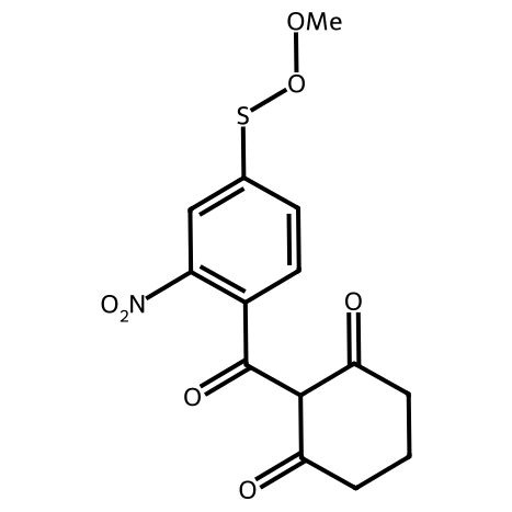 COOSc1ccc(C(=O)C2C(=O)CCCC2=O)c([N+](=O)[O-])c1